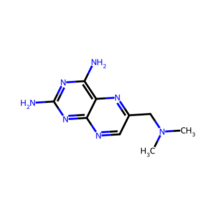 CN(C)Cc1cnc2nc(N)nc(N)c2n1